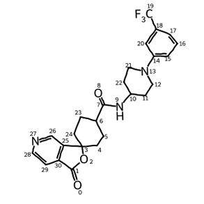 O=C1OC2(CCC(C(=O)NC3CCN(c4cccc(C(F)(F)F)c4)CC3)CC2)c2cnccc21